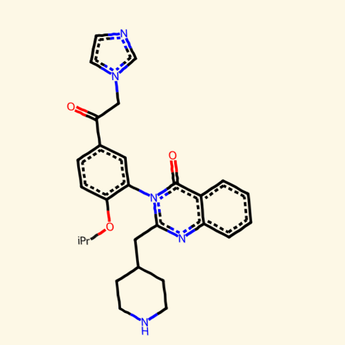 CC(C)Oc1ccc(C(=O)Cn2ccnc2)cc1-n1c(CC2CCNCC2)nc2ccccc2c1=O